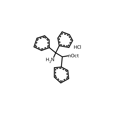 CCCCCCCCC(c1ccccc1)C(N)(c1ccccc1)c1ccccc1.Cl